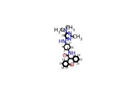 Cc1nc(NC2CCC(NC(=O)C3c4ccccc4Oc4ccccc43)CC2)cc(N(C)C)n1